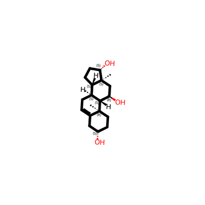 C[C@]12C[C@@H](O)[C@H]3[C@@H](CC=C4C[C@@H](O)CC[C@@]43C)[C@@H]1CC[C@@H]2O